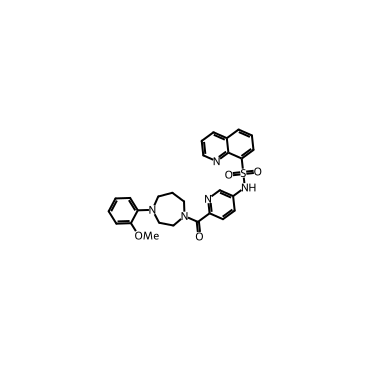 COc1ccccc1N1CCCN(C(=O)c2ccc(NS(=O)(=O)c3cccc4cccnc34)cn2)CC1